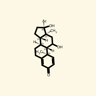 CC(=O)[C@@]1(O)CC[C@H]2[C@@H]3CCC4=CC(=O)C=C[C@]4(C)[C@H]3C(O)C[C@@]21C